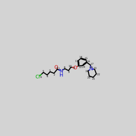 O=C(CCCCCl)NCCCOc1cccc(CN2CCCCC2)c1